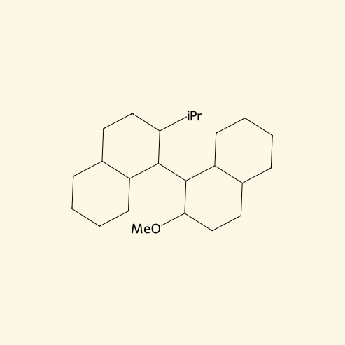 COC1CCC2CCCCC2C1C1C(C(C)C)CCC2CCCCC21